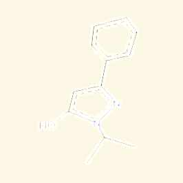 CC(C)n1nc(-c2ccccc2)cc1O